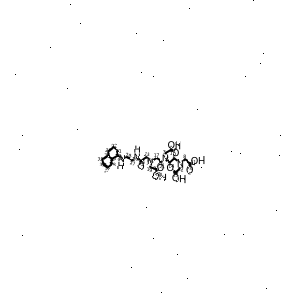 O=C(O)CN(CCN(CC(=O)O)CC(=O)O)CCN(CC(=O)O)CC(=O)NCCNc1cccc2ccccc12